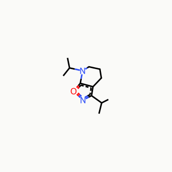 CC(C)c1noc2c1CCCN2C(C)C